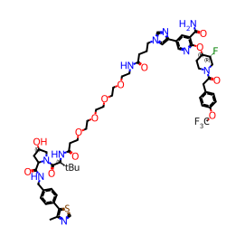 Cc1ncsc1-c1ccc(CNC(=O)C2C[C@@H](O)CN2C(=O)[C@@H](NC(=O)CCOCCOCCOCCOCCNC(=O)CCCn2cnc(-c3cnc(O[C@@H]4CCN(C(=O)Cc5ccc(OC(F)(F)F)cc5)C[C@H]4F)c(C(N)=O)c3)c2)C(C)(C)C)cc1